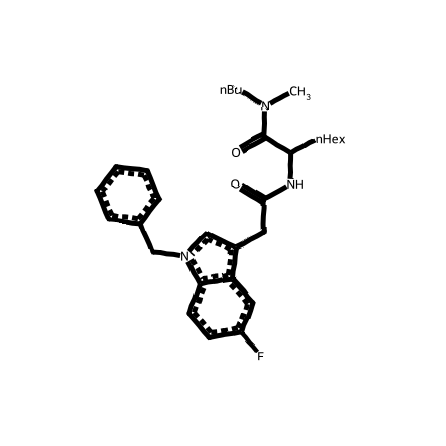 CCCCCCC(NC(=O)Cc1cn(Cc2ccccc2)c2ccc(F)cc12)C(=O)N(C)CCCC